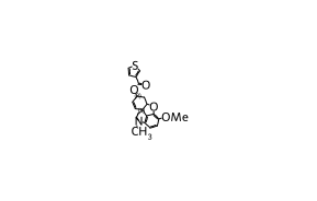 COc1ccc2c3c1OC1C[C@@H](OC(=O)c4ccsc4)C=C[C@@]31CCN2C